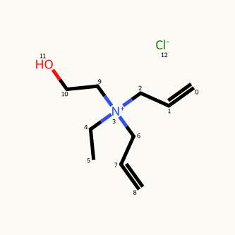 C=CC[N+](CC)(CC=C)CCO.[Cl-]